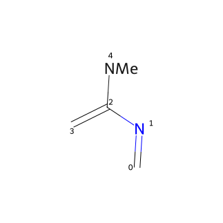 C=NC(=C)NC